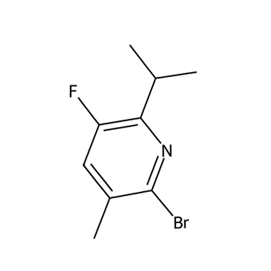 Cc1cc(F)c(C(C)C)nc1Br